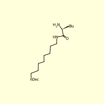 CCCCCCCCCCCCCCCCCCNC(=O)[C@@H](N)C(C)CC